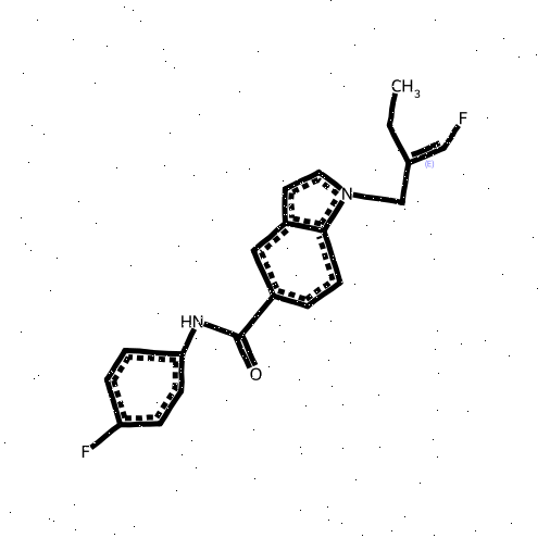 CC/C(=C\F)Cn1ccc2cc(C(=O)Nc3ccc(F)cc3)ccc21